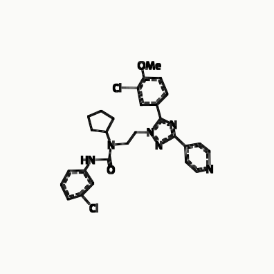 COc1ccc(-c2nc(-c3ccncc3)nn2CCN(C(=O)Nc2cccc(Cl)c2)C2CCCC2)cc1Cl